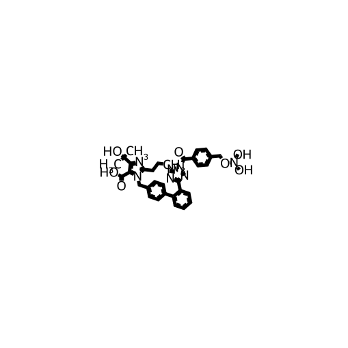 CCCc1nc(C(C)(C)O)c(C(=O)O)n1Cc1ccc(-c2ccccc2-c2nnn(C(=O)c3ccc(CON(O)O)cc3)n2)cc1